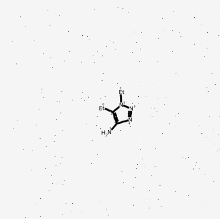 CCc1c(N)nnn1CC